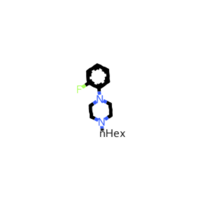 [CH2]CCCCCN1CCN(c2ccccc2F)CC1